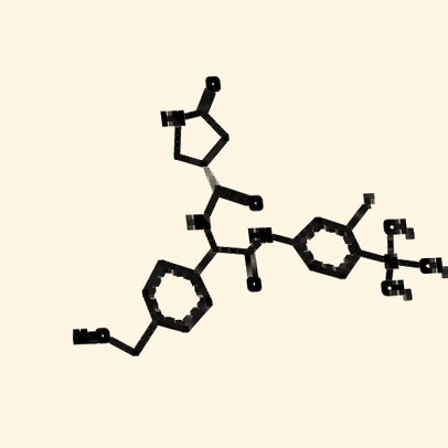 COCc1ccc(C(NC(=O)[C@@H]2CNC(=O)C2)C(=O)Nc2ccc([Si](C)(C)C)c(F)c2)cc1